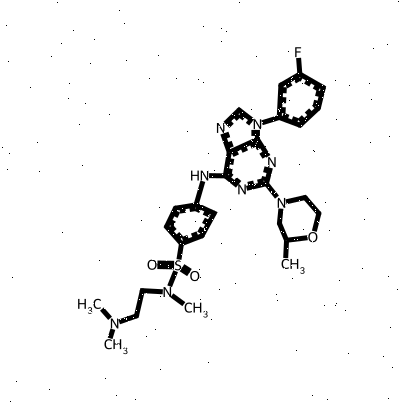 CC1CN(c2nc(Nc3ccc(S(=O)(=O)N(C)CCN(C)C)cc3)c3ncn(-c4cccc(F)c4)c3n2)CCO1